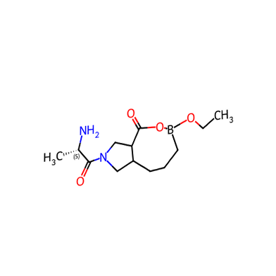 CCOB1CCCC2CN(C(=O)[C@H](C)N)CC2C(=O)O1